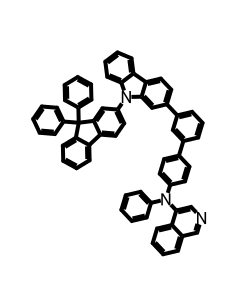 c1ccc(N(c2ccc(-c3cccc(-c4ccc5c6ccccc6n(-c6ccc7c(c6)C(c6ccccc6)(c6ccccc6)c6ccccc6-7)c5c4)c3)cc2)c2cncc3ccccc23)cc1